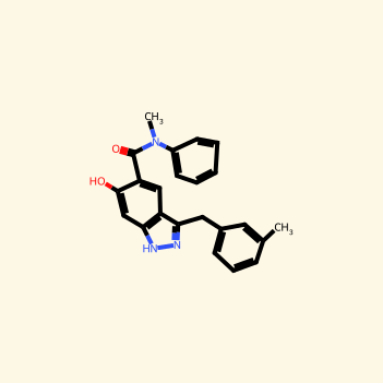 Cc1cccc(Cc2n[nH]c3cc(O)c(C(=O)N(C)c4ccccc4)cc23)c1